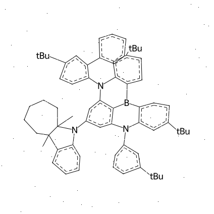 CC(C)(C)c1cccc(N2c3cc(C(C)(C)C)ccc3B3c4ccc(C(C)(C)C)cc4N(c4ccc(C(C)(C)C)cc4-c4ccccc4)c4cc(N5c6ccccc6C6(C)CCCCCC56C)cc2c43)c1